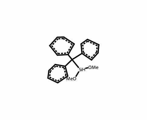 CO[SiH](OC)C(c1ccccc1)(c1ccccc1)c1ccccc1